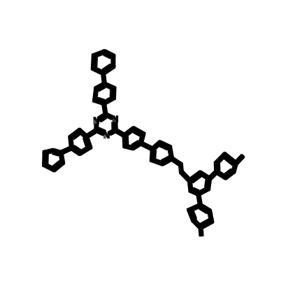 Cc1ccc(-c2cc(CCc3ccc(-c4ccc(-c5nc(-c6ccc(-c7ccccc7)cc6)nc(-c6ccc(-c7ccccc7)cc6)n5)cc4)cc3)cc(-c3ccc(C)cc3)c2)cc1